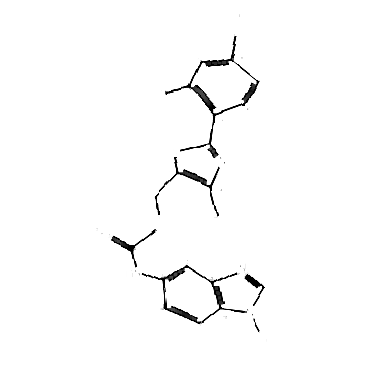 CCn1cnc2cc(NC(=O)OCc3sc(-c4ccc(F)cc4C)nc3C)ccc21